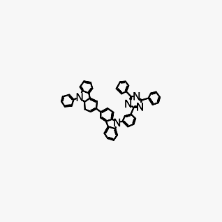 C1=C(c2ccc3c(c2)c2ccccc2n3-c2cccc(-c3nc(-c4ccccc4)nc(-c4ccccc4)n3)c2)C=C2c3ccccc3N(c3ccccc3)C2C1